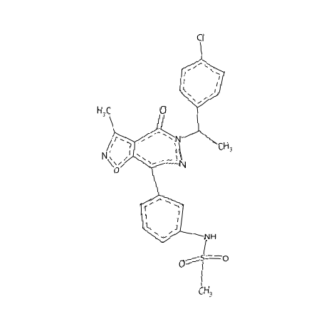 Cc1noc2c(-c3cccc(NS(C)(=O)=O)c3)nn(C(C)c3ccc(Cl)cc3)c(=O)c12